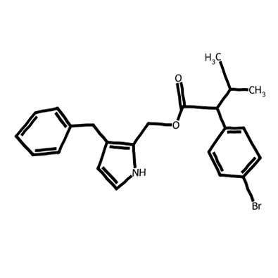 CC(C)C(C(=O)OCc1[nH]ccc1Cc1ccccc1)c1ccc(Br)cc1